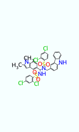 Cc1cc2cc(C(NS(=O)(=O)c3ccc(Cl)cc3Cl)N(Cc3ccc4[nH]c5ccccc5c4c3)S(=O)(=O)c3ccc(Cl)cc3Cl)ccc2n1C